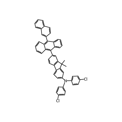 CC1(C)c2cc(-c3c4ccccc4c(-c4ccc5ccccc5c4)c4ccccc34)ccc2-c2ccc(N(c3ccc(Cl)cc3)c3ccc(Cl)cc3)cc21